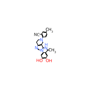 Cc1ccc(N2CCc3ncnc(N[C@@H](C)c4ccc(O)c(O)c4)c3C2)c(C#N)c1